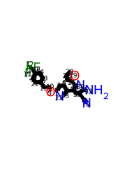 N#Cc1cc(-c2ccc(OCCc3ccc(C(F)(F)F)cc3)nc2)c(-c2ccco2)nc1N